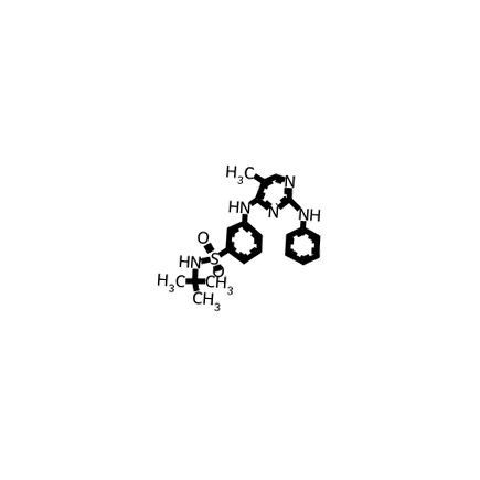 Cc1cnc(Nc2ccccc2)nc1Nc1cccc(S(=O)(=O)NC(C)(C)C)c1